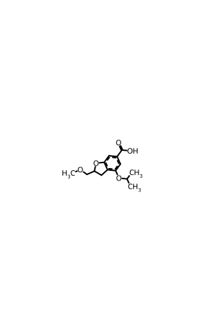 COCC1Cc2c(OC(C)C)cc(C(=O)O)cc2O1